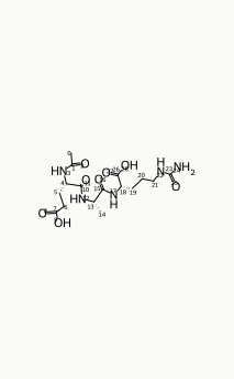 CC(=O)N[C@@H](CCC(=O)O)C(=O)N[C@@H](C)C(=O)N[C@@H](CCCNC(N)=O)C(=O)O